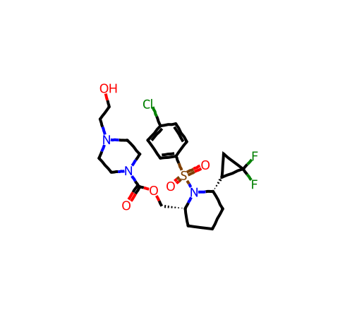 O=C(OC[C@H]1CCC[C@@H](C2CC2(F)F)N1S(=O)(=O)c1ccc(Cl)cc1)N1CCN(CCO)CC1